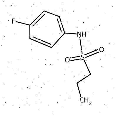 CCCS(=O)(=O)Nc1ccc(F)cc1